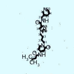 CC(C)CC(=O)Nc1ccn(CCCCn2cc(C(=O)NCc3cccnc3)nn2)c(=O)c1